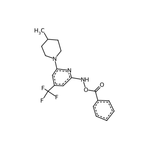 CC1CCN(c2cc(C(F)(F)F)cc(NOC(=O)c3ccccc3)n2)CC1